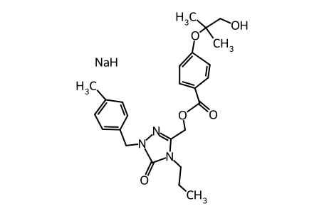 CCCn1c(COC(=O)c2ccc(OC(C)(C)CO)cc2)nn(Cc2ccc(C)cc2)c1=O.[NaH]